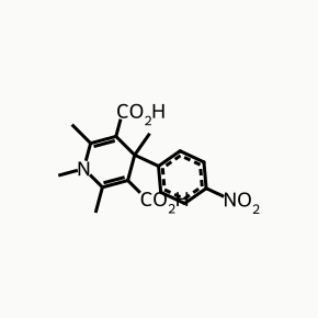 CC1=C(C(=O)O)C(C)(c2ccc([N+](=O)[O-])cc2)C(C(=O)O)=C(C)N1C